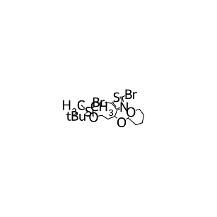 CC(C)(C)[Si](C)(C)OCCC(OC1CCCCO1)c1nc(Br)sc1Br